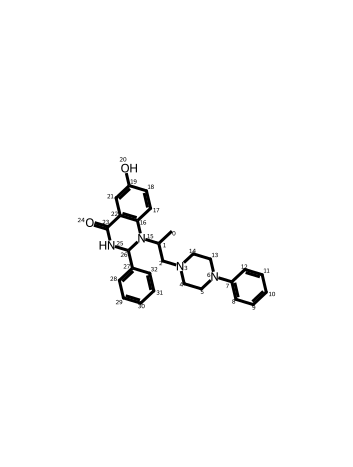 CC(CN1CCN(c2ccccc2)CC1)N1c2ccc(O)cc2C(=O)NC1c1ccccc1